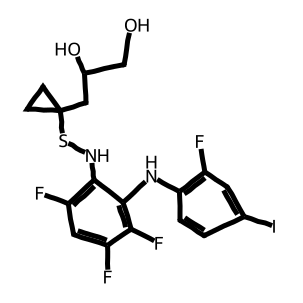 OCC(O)CC1(SNc2c(F)cc(F)c(F)c2Nc2ccc(I)cc2F)CC1